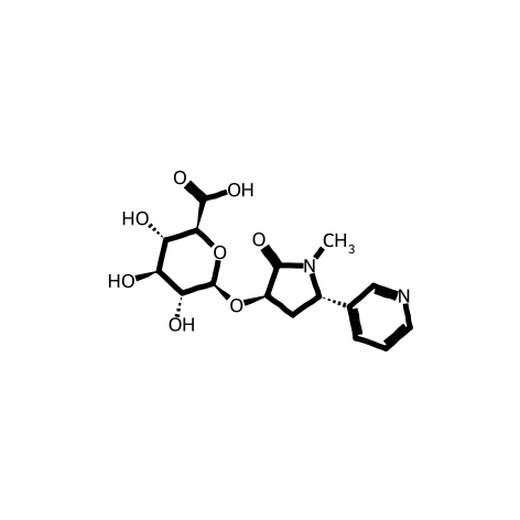 CN1C(=O)[C@H](O[C@@H]2O[C@H](C(=O)O)[C@@H](O)[C@H](O)[C@H]2O)C[C@H]1c1cccnc1